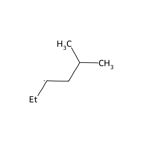 [CH2]C[CH]CC(C)C